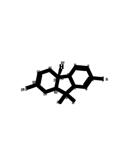 CC1(C)C2C=C(I)C=CC2[C@H]2CC=C(I)CC21